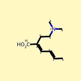 CC=CC=C(CCN(C)C)C(=O)O